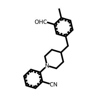 Cc1ccc(CC2CCN(c3ccccc3C#N)CC2)cc1C=O